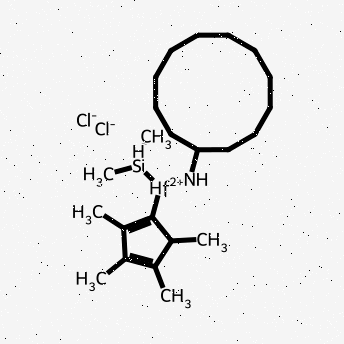 CC1=C(C)C(C)[C]([Hf+2]([NH]C2CCCCCCCCCCC2)[SiH](C)C)=C1C.[Cl-].[Cl-]